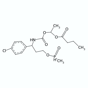 CCCC(=O)OC(C)OC(=O)NC(CCO[PH](C)=O)c1ccc(Cl)cc1